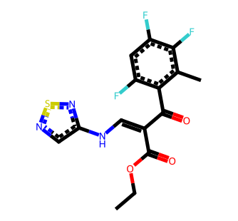 CCOC(=O)C(=CNc1cnsn1)C(=O)c1c(F)cc(F)c(F)c1C